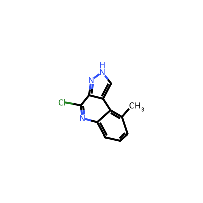 Cc1cccc2nc(Cl)c3n[nH]cc3c12